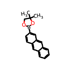 CC1(C)COB(c2ccc3cc4ccccc4cc3c2)O1